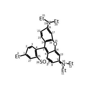 CCc1ccc(-c2c3ccc(=[N+](CC)CC)cc-3oc3cc(N(CC)CC)ccc23)c(S(=O)(=O)O)c1